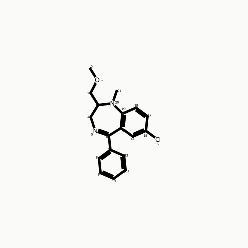 COCC1CN=C(c2ccccc2)c2cc(Cl)ccc2N1C